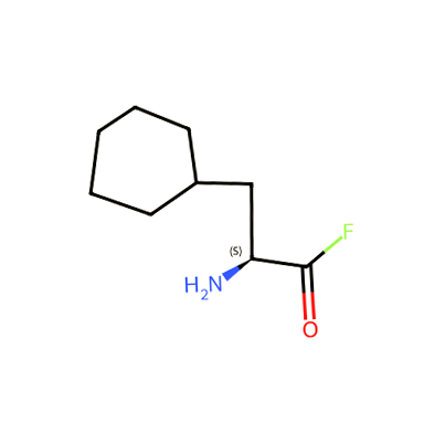 N[C@@H](CC1CCCCC1)C(=O)F